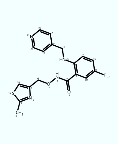 Cc1nc(CONC(=O)c2cc(F)ccc2NCc2ccncc2)cs1